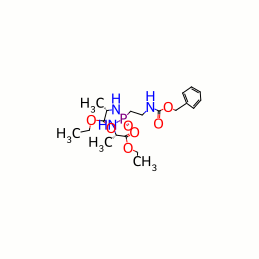 CCOC(=O)[C@H](C)NP(=O)(CCNC(=O)OCc1ccccc1)N[C@@H](C)C(=O)OCC